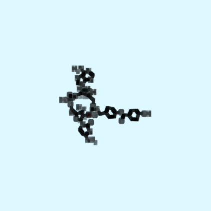 Nc1ccn([C@@H]2O[C@@H]3COP(=O)(O)O[C@@H]4[C@H](F)[C@@H](COP(=O)(SCc5ccc(OC(=O)c6ccc(O)cc6)cc5)O[C@@H]2[C@@H]3F)O[C@H]4n2cnc3c(N)ncnc32)c(=O)n1